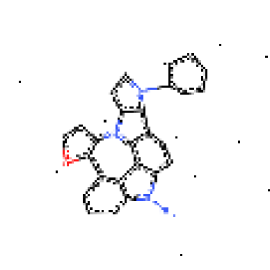 Nn1c2cccc3c4occc4n4c5ccn(-c6ccccc6)c5c5ccc1c(c32)c54